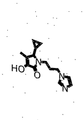 CC1=C(O)C(=O)N(CCCn2ccnc2)C1C1CC1